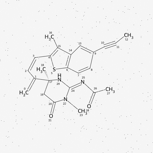 C=C(/C=C\c1sc2ccc(C#CC)cc2c1C)[C@]1(C)CC(=O)N(C)/C(=N\C(C)=O)N1